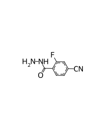 N#Cc1ccc(C(=O)NN)c(F)c1